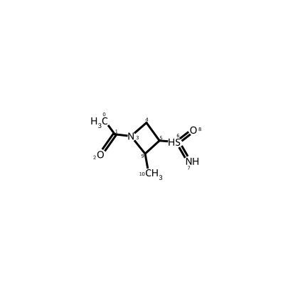 CC(=O)N1CC([SH](=N)=O)C1C